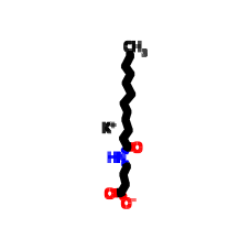 CCCCCCCCCCCC(=O)NCCCC(=O)[O-].[K+]